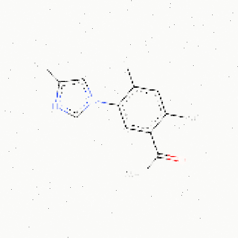 COC(=O)c1cc(-n2cnc(C#N)c2)c(C(F)(F)F)cc1[N+](=O)[O-]